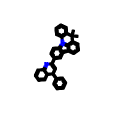 CC1(C)c2ccccc2-n2c3ccc(C4=CC(c5ccccc5)C5C=CC=CC5=N4)cc3c3cccc1c32